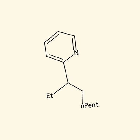 CCCCCCC(CC)c1ccccn1